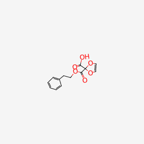 O=C(O)C1(C(=O)OCCc2ccccc2)OC=CO1